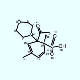 CC(=O)C1(N2CCOCC2)C=C(C)C=C[C@@]1(C)S(=O)(=O)O